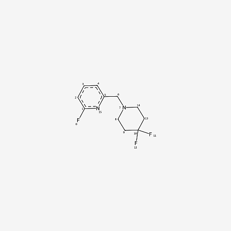 Fc1cccc(CN2CCC(F)(F)CC2)n1